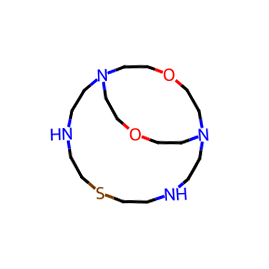 C1CSCCNCCN2CCOCCN(CCN1)CCOCC2